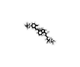 C=C1CC[C@@H]([Si](C)(C)C(C)(C)C)C/C1=C/C=C1\CCC[C@]2(C)C([C@H](C)CCCC(C)(C)O[Si](C)(C)C)=CC[C@@H]12